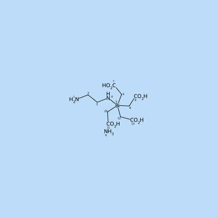 N.NCC[NH][Bi]([CH2]C(=O)O)([CH2]C(=O)O)([CH2]C(=O)O)[CH2]C(=O)O